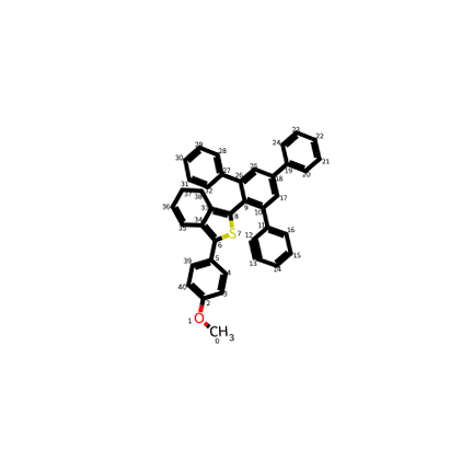 COc1ccc(-c2sc(-c3c(-c4c#cccc4)cc(-c4ccccc4)cc3-c3ccccc3)c3c2C=CCC3)cc1